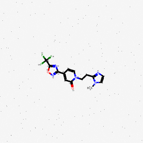 Cn1ccnc1CCn1ccc(-c2noc(C(F)(F)F)n2)cc1=O